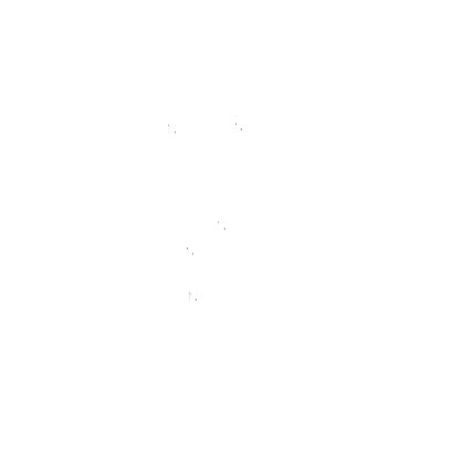 c1ncc(-n2cc(C3CC3)nn2)cn1